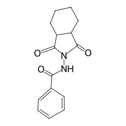 O=C(NN1C(=O)C2CCCCC2C1=O)c1ccccc1